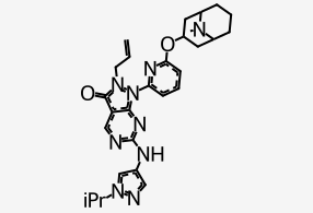 C=CCn1c(=O)c2cnc(Nc3cnn(C(C)C)c3)nc2n1-c1cccc(OC2CC3CCCC(C2)N3C)n1